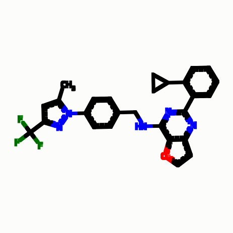 Cc1cc(C(F)(F)F)nn1-c1ccc(CNc2nc(-c3ccccc3C3CC3)nc3ccoc23)cc1